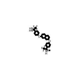 CN1NC1(c1ccc(Oc2ccc3ccc(Oc4ccc(C5(C(F)(F)F)NN5)cc4)cc3c2)cc1)C(F)(F)F